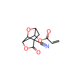 C=CC(=O)OC1C2CC3(C#N)C(=O)OC1C3O2